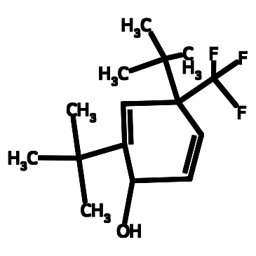 CC(C)(C)C1=CC(C(C)(C)C)(C(F)(F)F)C=CC1O